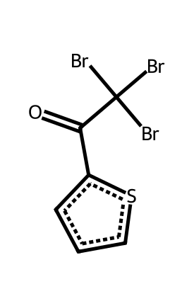 O=C(c1cccs1)C(Br)(Br)Br